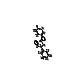 O=CC(CCOc1ccccc1)c1ccccc1